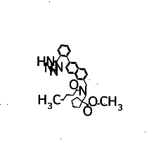 CCCCC(=O)N(Cc1ccc2cc(-c3ccccc3-c3nnn[nH]3)ccc2c1)CC1(C(=O)OCC)CCCC1